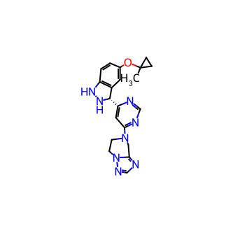 CC1(Oc2ccc3c(c2)[C@H](c2cc(N4CCn5ncnc5C4)ncn2)NN3)CC1